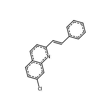 Clc1ccc2ccc(C=Cc3ccccc3)nc2c1